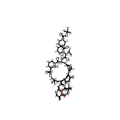 C=C(/C=N\C(=C\c1c2c3cc(c(F)cc3n1CC(F)(F)F)-c1csc(n1)C[C@H](NC(=O)[C@H](C(C)C)N1CCCC3(CCN(C(=O)OC(C)(C)C)CC3)C1=O)C(=O)N1CCC[C@H](N1)C(=O)OCC(C)(C)C2)[C@H](C)OC)N1CCN(C)CC1